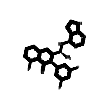 C[C@@H](Nc1ncnc2[nH]cnc12)c1cc2cccc(F)c2c(=O)n1-c1cc(F)cc(F)c1